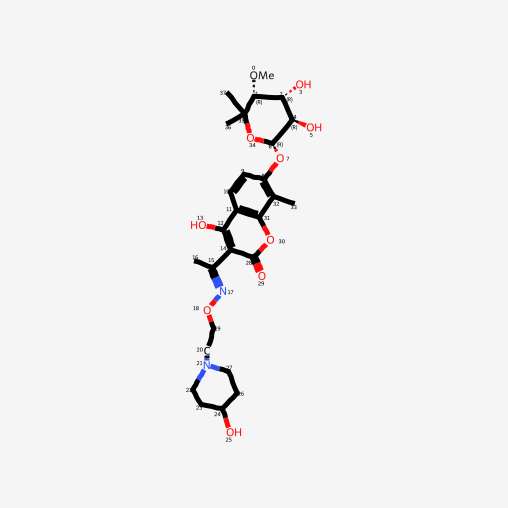 CO[C@@H]1[C@H](O)[C@@H](O)[C@H](Oc2ccc3c(O)c(C(C)=NOCCN4CCC(O)CC4)c(=O)oc3c2C)OC1(C)C